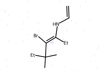 C=CN/C(CC)=C(\Br)C(C)(C)CC